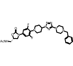 CC(=O)NC[C@H]1CN(c2cc(F)c(N3CCC(n4nnc(N5CCN(Cc6ccccc6)CC5)n4)CC3)c(F)c2)C(=O)O1